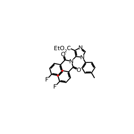 CCOC(=O)c1ncn(-c2ccc(C)cc2)c1N(C(=O)c1ccc(F)cc1)C(=O)c1ccc(F)cc1